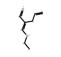 C=CC/C(C=O)=C\OCC